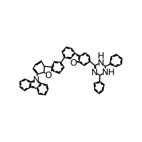 C1=CC2c3cc(-c4cccc5c4oc4cc(C6=NC(c7ccccc7)NC(c7ccccc7)N6)ccc45)ccc3OC2C(n2c3ccccc3c3ccccc32)=C1